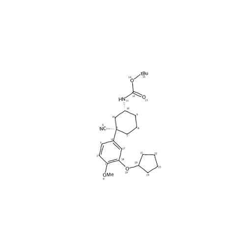 COc1ccc([C@]2(C#N)CCC[C@@H](NC(=O)OC(C)(C)C)C2)cc1OC1CCCC1